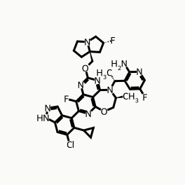 C[C@H](c1cc(F)cnc1N)N1c2nc(OC[C@@]34CCCN3C[C@H](F)C4)nc3c(F)c(-c4c(C5CC5)c(Cl)cc5[nH]ncc45)nc(c23)OC[C@@H]1C